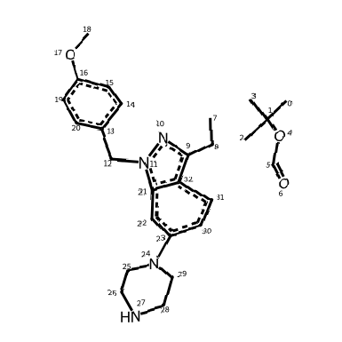 CC(C)(C)OC=O.CCc1nn(Cc2ccc(OC)cc2)c2cc(N3CCNCC3)ccc12